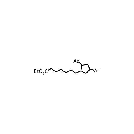 CCOC(=O)CCCCCCC1CC(C(C)=O)CC1C(C)=O